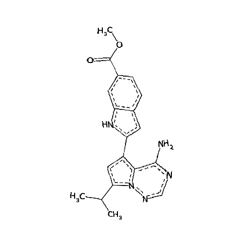 COC(=O)c1ccc2cc(-c3cc(C(C)C)n4ncnc(N)c34)[nH]c2c1